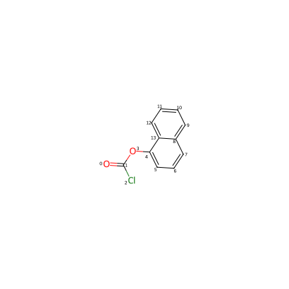 O=C(Cl)Oc1cccc2ccccc12